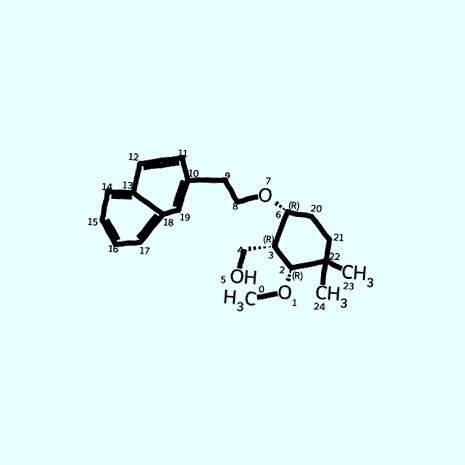 CO[C@@H]1[C@H](CO)[C@H](OCCc2ccc3ccccc3c2)CCC1(C)C